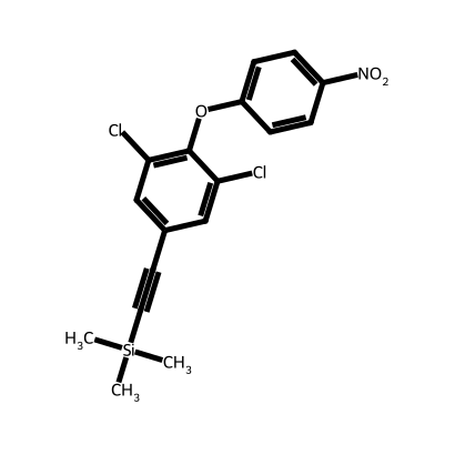 C[Si](C)(C)C#Cc1cc(Cl)c(Oc2ccc([N+](=O)[O-])cc2)c(Cl)c1